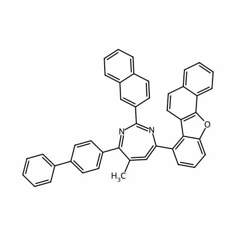 CC1=C=C(c2cccc3oc4c5ccccc5ccc4c23)N=C(c2ccc3ccccc3c2)N=C1c1ccc(-c2ccccc2)cc1